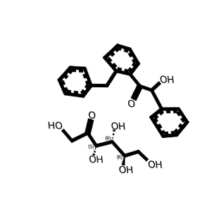 O=C(CO)[C@@H](O)[C@H](O)[C@H](O)CO.O=C(c1ccccc1Cc1ccccc1)C(O)c1ccccc1